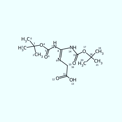 CC(C)(C)OC(=O)NC(=NCC(=O)O)NC(=O)OC(C)(C)C